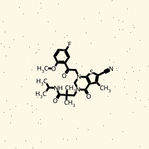 COc1ccc(F)cc1C(=O)CN1CN(CC(C)(C)C(=O)NC(C)C)C(=O)c2c1sc(C#N)c2C